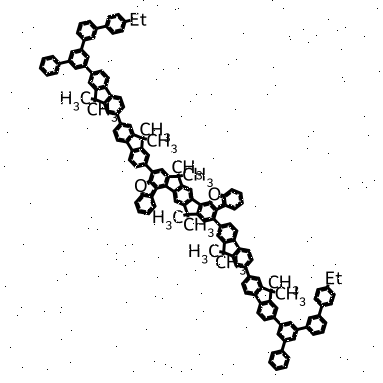 CCc1ccc(-c2cccc(-c3cc(-c4ccccc4)cc(-c4ccc5c(c4)C(C)(C)c4cc(-c6ccc7c(c6)C(C)(C)c6cc(-c8cc9c(c%10c8oc8ccccc8%10)-c8cc%10c(cc8C9(C)C)-c8c(cc(-c9ccc%11c(c9)C(C)(C)c9cc(-c%12ccc%13c(c%12)C(C)(C)c%12cc(-c%14cc(-c%15ccccc%15)cc(-c%15cccc(-c%16ccc(CC)cc%16)c%15)c%14)ccc%12-%13)ccc9-%11)c9c8oc8ccccc89)C%10(C)C)ccc6-7)ccc4-5)c3)c2)cc1